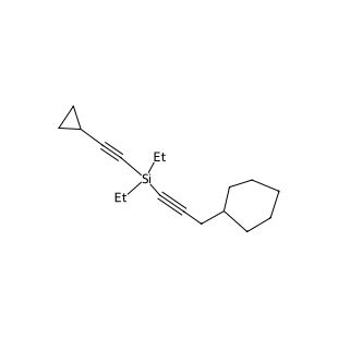 CC[Si](C#CCC1CCCCC1)(C#CC1CC1)CC